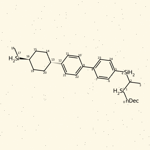 CCCCCCCCCC[SiH2]C(C)[SiH2]c1ccc(-c2ccc([C@H]3CC[C@H]([SiH2]C)CC3)cc2)cc1